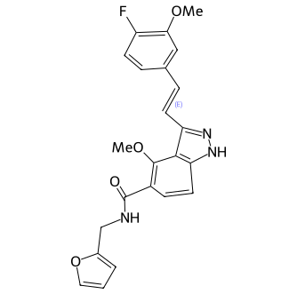 COc1cc(/C=C/c2n[nH]c3ccc(C(=O)NCc4ccco4)c(OC)c23)ccc1F